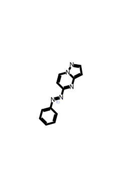 c1ccc(/N=N/c2ccn3nccc3n2)cc1